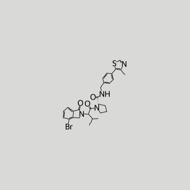 Cc1ncsc1-c1ccc(CNC(=O)[C@@H]2CCCN2C(=O)C(C(C)C)N2Cc3c(Br)cccc3C2=O)cc1